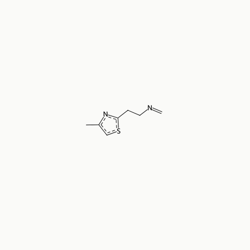 C=NCCc1nc(C)cs1